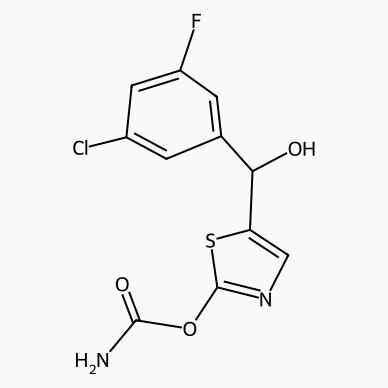 NC(=O)Oc1ncc(C(O)c2cc(F)cc(Cl)c2)s1